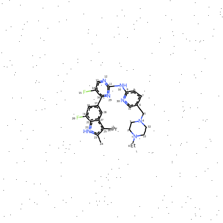 CCN1CCN(Cc2ccc(Nc3ncc(F)c(-c4cc(F)c5[nH]c(C)c(C(C)C)c5c4)n3)nc2)CC1